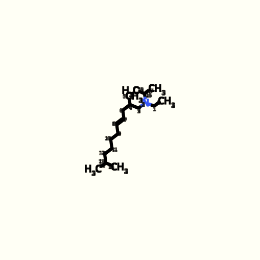 CCN(CC(C)C/C=C/CCCCC(C)C)C(C)C